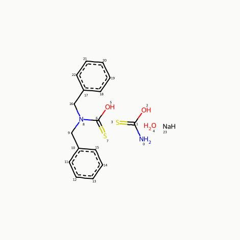 NC(O)=S.O.OC(=S)N(Cc1ccccc1)Cc1ccccc1.[NaH]